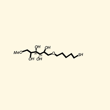 COCC(O)[C@@H](O)[C@@H](O)C(O)COCCCCCS